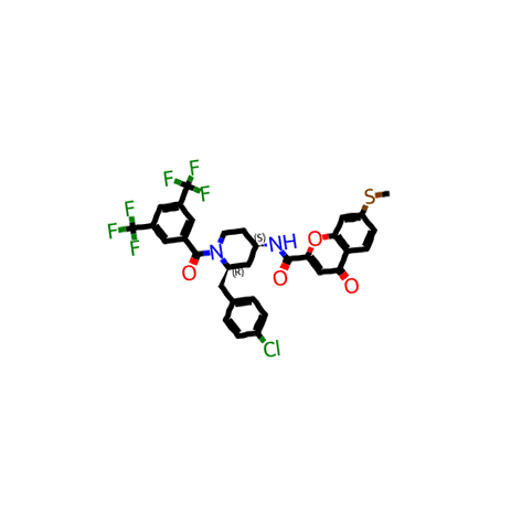 CSc1ccc2c(=O)cc(C(=O)N[C@H]3CCN(C(=O)c4cc(C(F)(F)F)cc(C(F)(F)F)c4)[C@H](Cc4ccc(Cl)cc4)C3)oc2c1